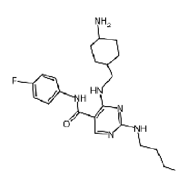 CCCCNc1ncc(C(=O)Nc2ccc(F)cc2)c(NCC2CCC(N)CC2)n1